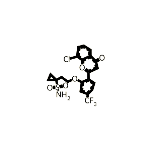 NS(=O)(=O)C1(CCOc2cc(C(F)(F)F)ccc2-c2cc(=O)c3cccc(Cl)c3o2)CC1